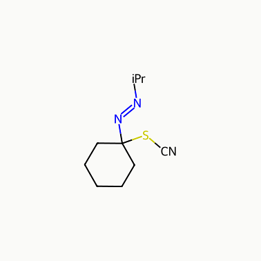 CC(C)N=NC1(SC#N)CCCCC1